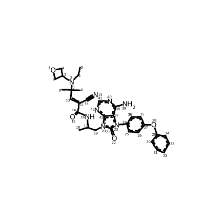 CCN(C1COC1)C(C)(C)C=C(C#N)C(=O)NC(C)Cn1c(=O)n(-c2ccc(Oc3ccccc3)cc2)c2c(N)ncnc21